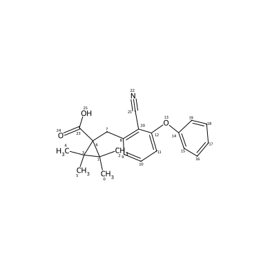 CC1(C)C(C)(C)C1(Cc1cccc(Oc2ccccc2)c1C#N)C(=O)O